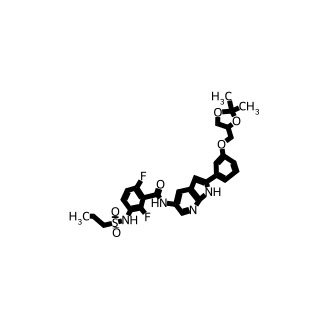 CCCS(=O)(=O)Nc1ccc(F)c(C(=O)Nc2cnc3[nH]c(-c4cccc(OCC5COC(C)(C)O5)c4)cc3c2)c1F